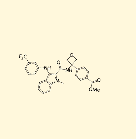 COC(=O)c1ccc(C2(NC(=O)c3c(Nc4cccc(C(F)(F)F)c4)c4ccccc4n3C)COC2)cc1